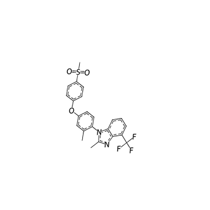 Cc1cc(Oc2ccc(S(C)(=O)=O)cc2)ccc1-n1c(C)nc2c(C(F)(F)F)cccc21